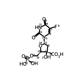 O=C(O)[C@]1(O)C[C@H](n2cc(F)c(=O)[nH]c2=O)O[C@@H]1COP(=O)(O)O